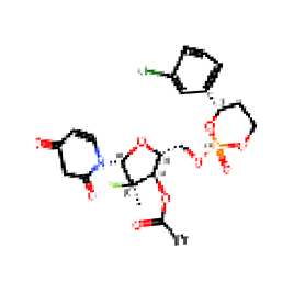 CC(C)C(=O)O[C@@H]1[C@@H](CO[P@@]2(=O)OCC[C@@H](c3cccc(Cl)c3)O2)O[C@@H](N2C=CC(=O)CC2=O)[C@]1(C)F